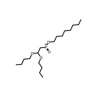 CCCCCCCCO[PH](=O)CC(OCCCC)OCCCC